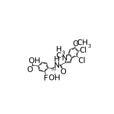 COc1cc2c(cc(C(=O)N[C@H](CO)c3ccc(C(=O)O)cc3F)n2C)c(Cl)c1Cl